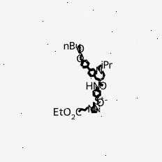 CCCCOCCOc1ccc(-c2ccc3c(c2)N(CC(C)C)CCCC(C(=O)Nc2ccc([S+]([O-])Cc4nccn4CCCC(=O)OCC)cc2)=C3)cc1